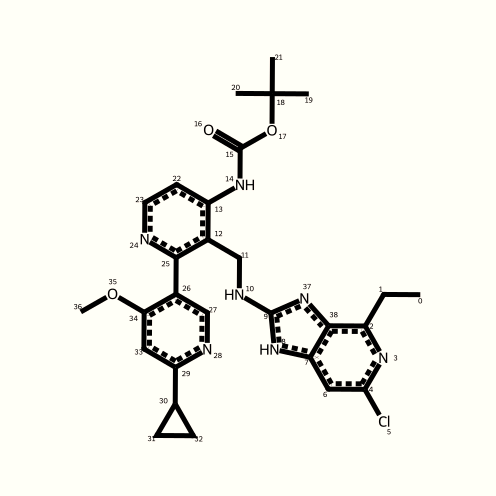 CCc1nc(Cl)cc2[nH]c(NCc3c(NC(=O)OC(C)(C)C)ccnc3-c3cnc(C4CC4)cc3OC)nc12